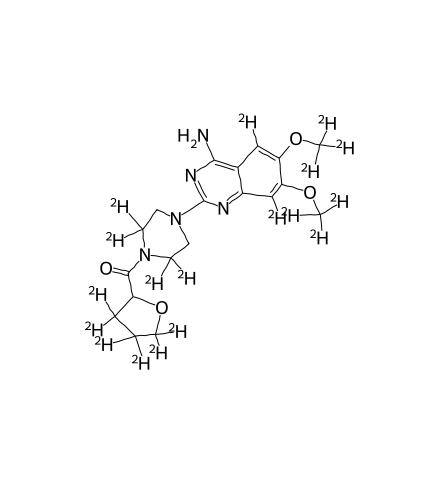 [2H]c1c(OC([2H])([2H])[2H])c(OC([2H])([2H])[2H])c([2H])c2c(N)nc(N3CC([2H])([2H])N(C(=O)C4OC([2H])([2H])C([2H])([2H])C4([2H])[2H])C([2H])([2H])C3)nc12